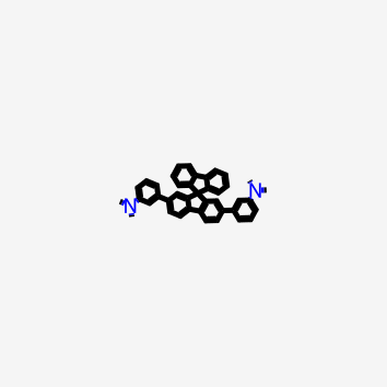 CN(C)c1cccc(-c2ccc3c(c2)C2(c4ccccc4-c4ccccc42)c2cc(-c4cccc(N(C)C)c4)ccc2-3)c1